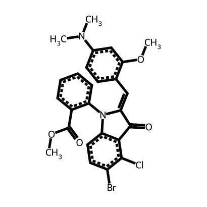 COC(=O)c1ccccc1N1/C(=C\c2ccc(N(C)C)cc2OC)C(=O)c2c1ccc(Br)c2Cl